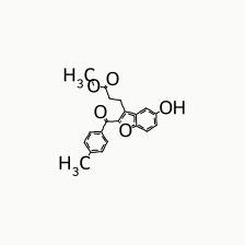 COC(=O)CCc1c(C(=O)c2ccc(C)cc2)oc2ccc(O)cc12